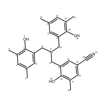 Cc1cc(C)c(O)c(CN(Cc2cc(C)cc(C)c2O)Cc2cc(C#N)cc(C)c2O)c1